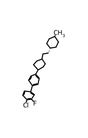 C[C@H]1CC[C@H](CCC2CCC(c3ccc(-c4ccc(Cl)c(F)c4)cc3)CC2)CC1